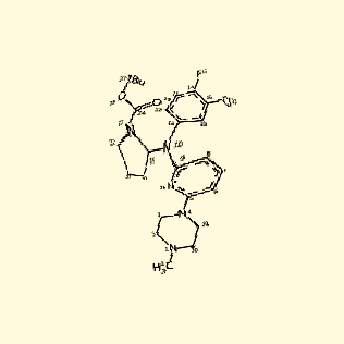 CN1CCN(c2cccc(N(c3ccc(F)c(Cl)c3)C3CCCN3C(=O)OC(C)(C)C)n2)CC1